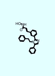 O=C(/C=C/c1cccc(-c2ncc(-c3ccccc3)n2CCc2ccccc2)c1)NO